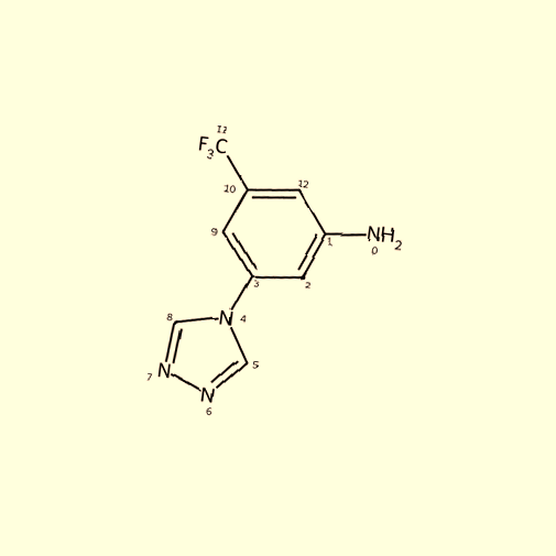 Nc1cc(-n2cnnc2)cc(C(F)(F)F)c1